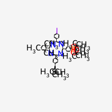 Cc1cc(C)c(C2=C3C=CC(=N3)C(c3ccc(I)cc3)=C3C=CC(=N3)C(c3ccc(P(=O)(OC(C)(C)C)OC(C)(C)C)cc3)=C3C=CC(=N3)C(c3ccc(C#C[Si](C)(C)C)cc3)=C3C=CC2=N3)c(C)c1